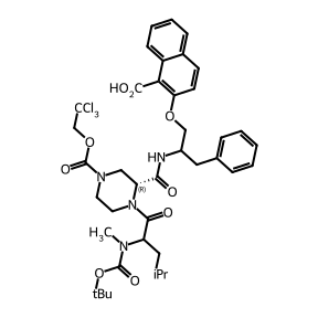 CC(C)CC(C(=O)N1CCN(C(=O)OCC(Cl)(Cl)Cl)C[C@@H]1C(=O)NC(COc1ccc2ccccc2c1C(=O)O)Cc1ccccc1)N(C)C(=O)OC(C)(C)C